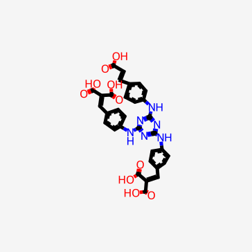 O=C(O)C=Cc1ccc(Nc2nc(Nc3ccc(C=C(C(=O)O)C(=O)O)cc3)nc(Nc3ccc(C=C(C(=O)O)C(=O)O)cc3)n2)cc1